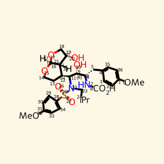 COc1ccc(C[C@H](NC(=O)O)[C@@H](O)C([C@H]2CCO[C@H]3OC[C@H](O)[C@@H]32)N(CC(C)C)S(=O)(=O)c2ccc(OC)cc2)cc1